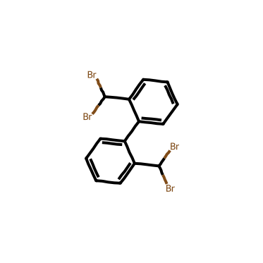 BrC(Br)c1ccccc1-c1ccccc1C(Br)Br